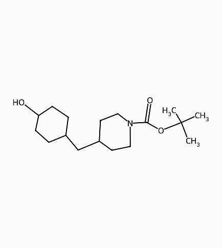 CC(C)(C)OC(=O)N1CCC(CC2CCC(O)CC2)CC1